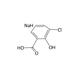 O=C(O)c1cccc(Cl)c1O.[NaH]